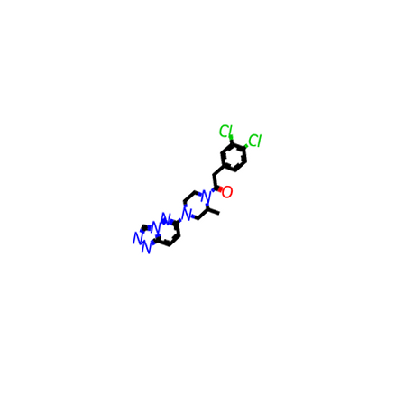 CC1CN(c2ccc3nncn3n2)CCN1C(=O)Cc1ccc(Cl)c(Cl)c1